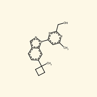 Cc1cc(-n2ncc3ccc(C4(C)CCC4)cc32)nc(CO)n1